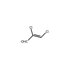 O=[C]C(Cl)=CCl